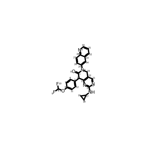 O=C1C(c2ccc(OC(F)F)cc2)c2nc(NC3CC3)ncc2CN1c1ccc2ncccc2c1